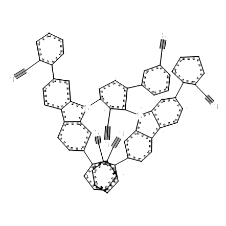 N#Cc1cccc(-c2ccc(-n3c4cc(-c5ccccc5C#N)ccc4c4ccc(-c5ccccc5C#N)cc43)c(C#N)c2-n2c3cc(-c4ccccc4C#N)ccc3c3ccc(-c4ccccc4C#N)cc32)c1